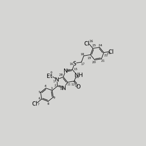 CCn1c(-c2ccc(Cl)cc2)nc2c(=O)[nH]c(SCCc3ccc(Cl)cc3Cl)nc21